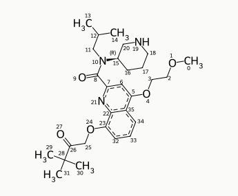 COCCOc1cc(C(=O)N(CC(C)C)[C@@H]2CCCNC2)nc2c(OCC(=O)C(C)(C)C)cccc12